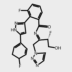 O=C(/N=C(/Cn1ccnn1)[C@H](F)CO)c1cccc(F)c1-c1cc(C2=CCC(F)C=C2)[nH]n1